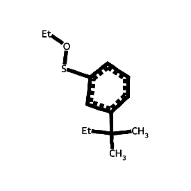 CCOSc1cccc(C(C)(C)CC)c1